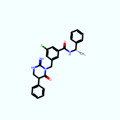 C[C@H](NC(=O)c1cc(F)cc(CN2C(=N)NCC(c3ccccc3)C2=O)c1)c1ccccc1